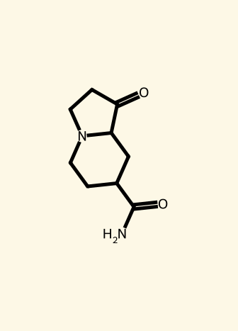 NC(=O)C1CCN2CCC(=O)C2C1